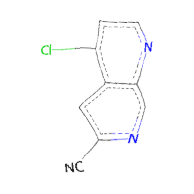 N#Cc1cc2c(Cl)ccnc2cn1